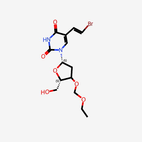 CCOCOC1C[C@@H](n2cc(C=CBr)c(=O)[nH]c2=O)O[C@H]1CO